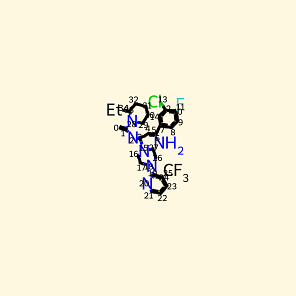 C=C(/N=C(\C=C(/N)c1ccc(F)c(Cl)c1)N1CCN(c2ncccc2C(F)(F)F)CC1)N1CCCCC1CC